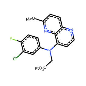 CCOC(=O)CN(c1ccc(F)c(Cl)c1)c1ccnc2ccc(OC)nc12